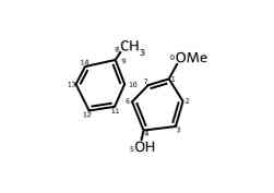 COc1ccc(O)cc1.Cc1ccccc1